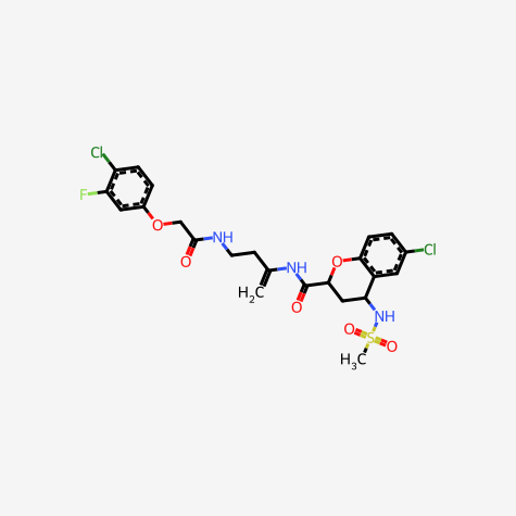 C=C(CCNC(=O)COc1ccc(Cl)c(F)c1)NC(=O)C1CC(NS(C)(=O)=O)c2cc(Cl)ccc2O1